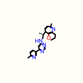 CC1=NC2=C(OCCC2)C([C@H](C)CNc2cc(-c3ccc(C)nc3)ncn2)C=C1